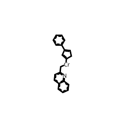 C1=[C]([Cr][CH2]c2ccc3ccccc3n2)CC=C1c1ccccc1